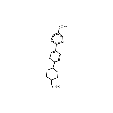 CCCCCCCCc1ccc(C2=CCC(C3CCC(CCCCCC)CC3)C=C2)cc1